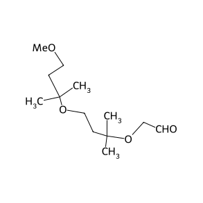 COCCC(C)(C)OCCC(C)(C)OCC=O